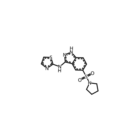 O=S(=O)(c1ccc2[nH]nc(Nc3nccs3)c2c1)N1CCCC1